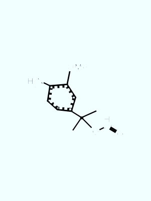 COc1cc(C(C)(C)O[PH2]=O)ccc1N